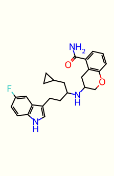 NC(=O)c1cccc2c1CC(NC(CCc1c[nH]c3ccc(F)cc13)CC1CC1)CO2